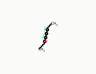 CCCCCCCC1CCC(c2ccc(-c3ccc(-c4ccc(CCCCCC)c(F)c4F)cc3)c(F)c2F)OC1